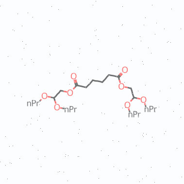 CCCOC(COC(=O)CCCCC(=O)OCC(OCCC)OCCC)OCCC